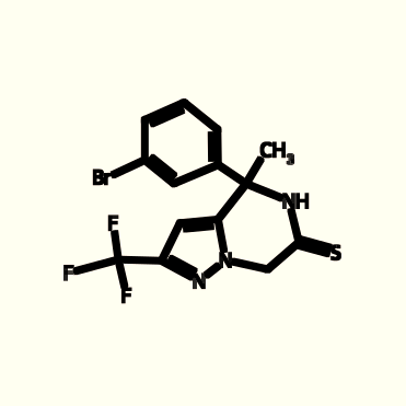 CC1(c2cccc(Br)c2)NC(=S)Cn2nc(C(F)(F)F)cc21